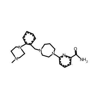 CN1CCN(c2ccccc2CN2CCCN(c3cc[c]c(C(N)=O)n3)CC2)CC1